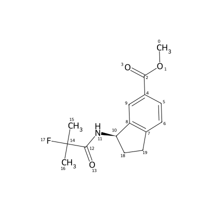 COC(=O)c1ccc2c(c1)[C@H](NC(=O)C(C)(C)F)CC2